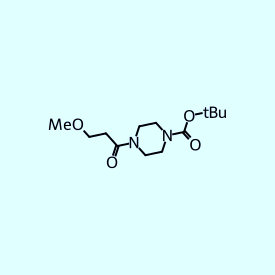 COCCC(=O)N1CCN(C(=O)OC(C)(C)C)CC1